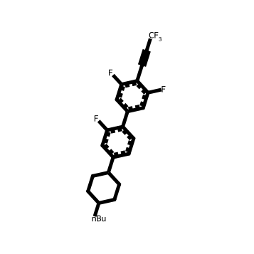 CCCCC1CCC(c2ccc(-c3cc(F)c(C#CC(F)(F)F)c(F)c3)c(F)c2)CC1